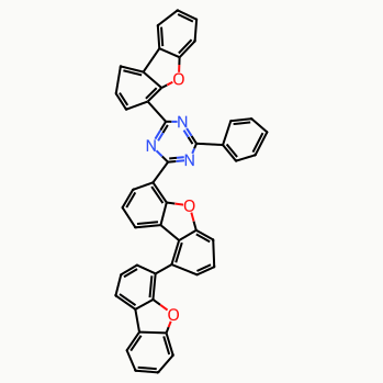 c1ccc(-c2nc(-c3cccc4c3oc3ccccc34)nc(-c3cccc4c3oc3cccc(-c5cccc6c5oc5ccccc56)c34)n2)cc1